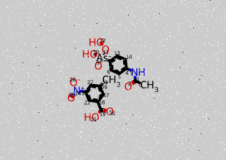 CC(=O)Nc1ccc([As](=O)(O)OO)cc1.Cc1cc(C(=O)O)cc([N+](=O)[O-])c1